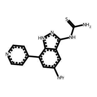 CCCc1cc(-c2ccncc2)c2[nH]nc(NC(N)=S)c2c1